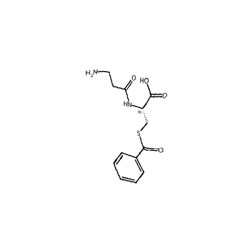 NCCC(=O)N[C@@H](CSC(=O)c1ccccc1)C(=O)O